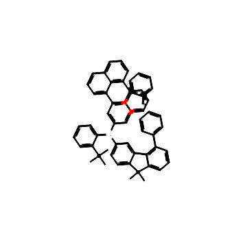 CC(C)(C)c1ccccc1N(c1ccc2c(c1)-c1c(-c3ccccc3)cccc1C2(C)C)c1cc(-c2cccc3cccc(-c4ccccc4)c23)c2c(c1)sc1ccccc12